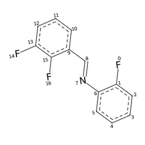 Fc1ccccc1N=Cc1cccc(F)c1F